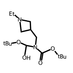 CCN1CC(CN(C(=O)OC(C)(C)C)C(O)OC(C)(C)C)C1